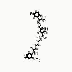 Cc1[nH]c(C=NN=C2C(=O)Nc3ccc(F)cc32)c(C)c1C(=O)NCCCCCC(=O)Nc1ccc(F)cc1N